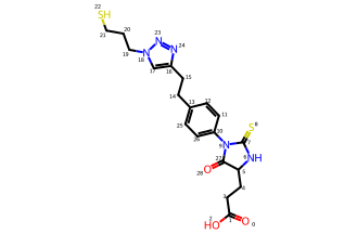 O=C(O)CCC1NC(=S)N(c2ccc(CCc3cn(CCCS)nn3)cc2)C1=O